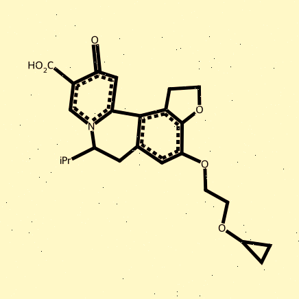 CC(C)C1Cc2cc(OCCOC3CC3)c3c(c2-c2cc(=O)c(C(=O)O)cn21)CCO3